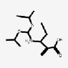 C=C(C(=O)O)C(CC)[SiH2]C(OC(C)C)OC(C)C